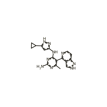 Cc1nc(N)nc(Nc2cc(C3CC3)[nH]n2)c1-c1nccc2n[nH]cc12